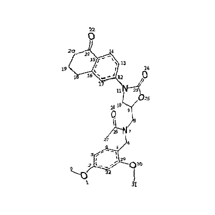 COc1ccc(CN(CC2CN(c3ccc4c(c3)CCCC4=O)C(=O)O2)C(C)=O)c(OC)c1